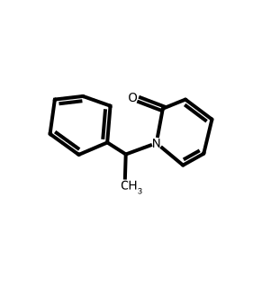 CC(c1ccccc1)n1ccccc1=O